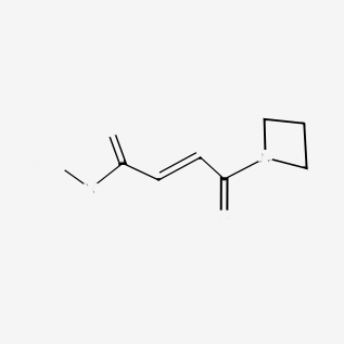 CNC(=O)/C=C/C(=O)N1CCC1